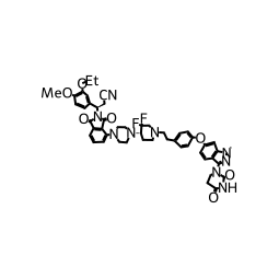 CCOc1cc([C@@H](CC#N)N2C(=O)c3cccc(N4CCN([C@H]5CCN(CCc6ccc(Oc7ccc8c(N9CCC(=O)NC9=O)nn(C)c8c7)cc6)CC5(F)F)CC4)c3C2=O)ccc1OC